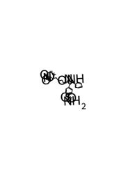 NS(=O)(=O)c1ccc(-c2c(COCCCO[N+](=O)[O-])n[nH]c2-c2ccccc2)cc1